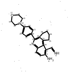 N=Cc1c(N)ccc2nc(-c3ccc(N4CCOCC4)cc3)c3c(c12)CCCC3